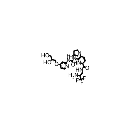 NC(CNC(=O)C1C=CC2=C(N1)N(C(=O)Nc1cc(OC[C@H](O)CO)ccn1)[C@H]1CCN2C1)C(F)(F)F